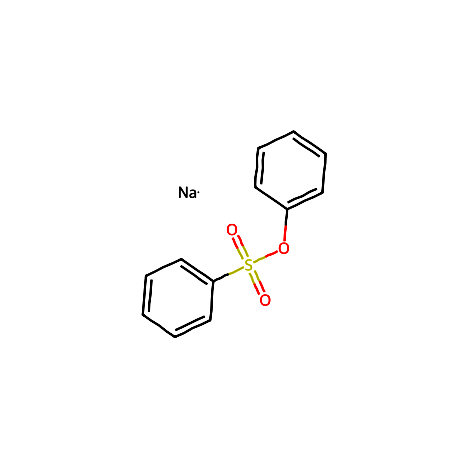 O=S(=O)(Oc1ccccc1)c1ccccc1.[Na]